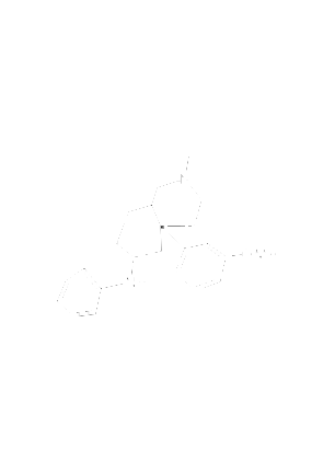 COc1cccc(C23CCN(C)CC2CCC(Nc2ccccc2)C3)c1